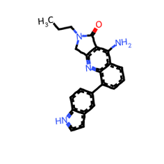 CCCN1Cc2nc3c(-c4ccc5[nH]ccc5c4)cccc3c(N)c2C1=O